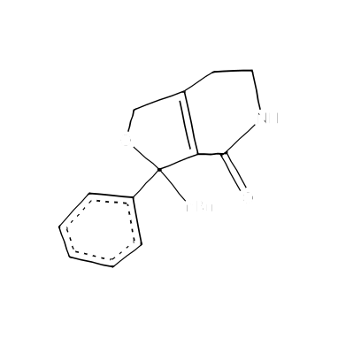 CCCCC1(c2ccccc2)OCC2=C1C(=O)NCC2